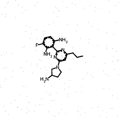 CCCc1cc(N2CCC(N)C2)nc(-c2c(N)ccc(F)c2N)n1